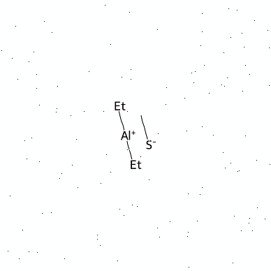 C[CH2][Al+][CH2]C.C[S-]